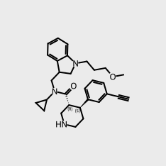 C#Cc1cccc([C@H]2CCNC[C@@H]2C(=O)N(CC2CN(CCCOC)c3ccccc32)C2CC2)c1